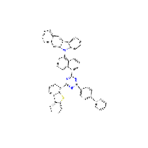 c1ccc(-c2ccc(-c3nc(-c4cccc5c(-n6c7ccccc7c7cc8ccccc8cc76)cccc45)nc(-c4cccc5c4sc4ccccc45)n3)cc2)cc1